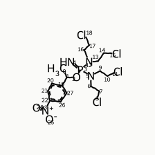 CC(OP(=N)(N(CCCl)CCCl)N(CCCl)CCCl)c1ccc([N+](=O)[O-])cc1